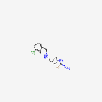 N=C(S)Nc1ccc(CCNCc2cccc(Cl)c2)cc1